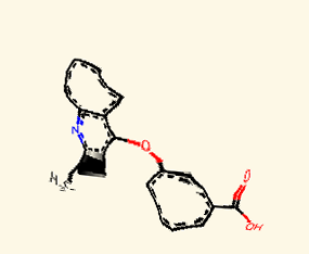 Cc1cc(Oc2cccc(C(=O)O)c2)c2ccccc2n1